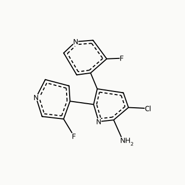 Nc1nc(-c2ccncc2F)c(-c2ccncc2F)cc1Cl